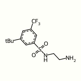 CC(C)(C)c1cc(C(F)(F)F)cc(S(=O)(=O)NCCN)c1